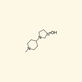 CN1CCC(N2CC[C@@H](O)C2)CC1